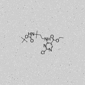 CCOC(=O)c1cnc(Cl)nc1NCCC(C)(C)NC(=O)OC(C)(C)C